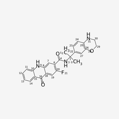 CC(C)(NC(=O)c1cc2[nH]c3ccccc3c(=O)c2cc1F)c1ccc2c(c1)OCCN2